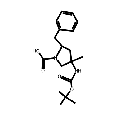 CC1(NC(=O)OC(C)(C)C)CC(Cc2ccccc2)N(C(=O)O)C1